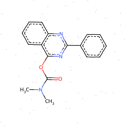 CN(C)C(=O)Oc1nc(-c2ccccc2)nc2ccccc12